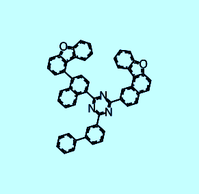 c1ccc(-c2cccc(-c3nc(-c4ccc5ccc6oc7ccccc7c6c5c4)nc(-c4ccc(-c5cccc6oc7ccccc7c56)c5ccccc45)n3)c2)cc1